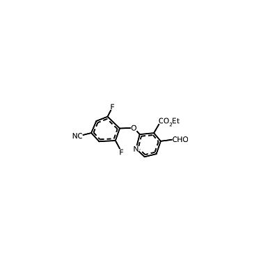 CCOC(=O)c1c(C=O)ccnc1Oc1c(F)cc(C#N)cc1F